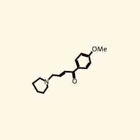 COc1ccc(C(=O)/C=C/CN2CCCCC2)cc1